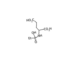 CCP(=O)(O)NC(CCC(=O)O)C(=O)O